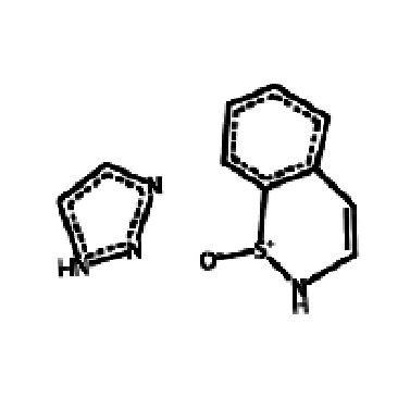 [O-][S+]1NC=Cc2ccccc21.c1c[nH]nn1